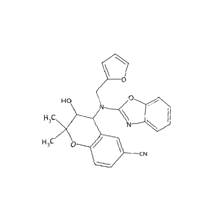 CC1(C)Oc2ccc(C#N)cc2C(N(Cc2ccco2)c2nc3ccccc3o2)C1O